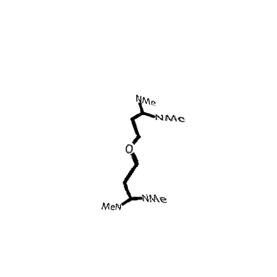 CNC(CCOCCC(NC)NC)NC